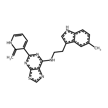 C=C1NC=CC=C1c1nc(NCCc2c[nH]c3ccc(C)cc23)c2ncsc2n1